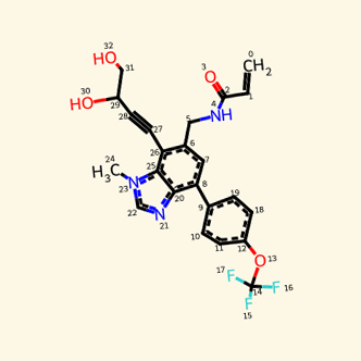 C=CC(=O)NCc1cc(-c2ccc(OC(F)(F)F)cc2)c2ncn(C)c2c1C#CC(O)CO